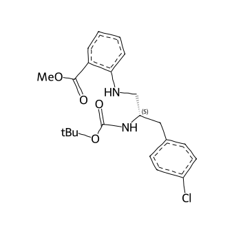 COC(=O)c1ccccc1NC[C@H](Cc1ccc(Cl)cc1)NC(=O)OC(C)(C)C